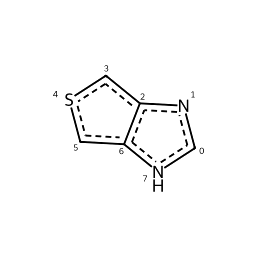 c1nc2cscc2[nH]1